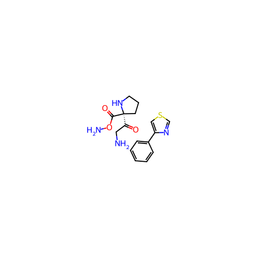 NCC(=O)[C@@]1(C(=O)ON)CCCN1.c1ccc(-c2cscn2)cc1